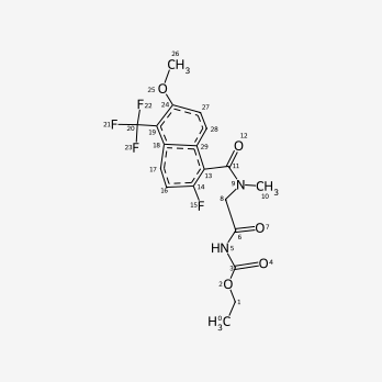 CCOC(=O)NC(=O)CN(C)C(=O)c1c(F)ccc2c(C(F)(F)F)c(OC)ccc12